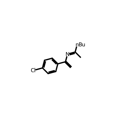 C=C(/N=C(\C)CCCC)c1ccc(Cl)cc1